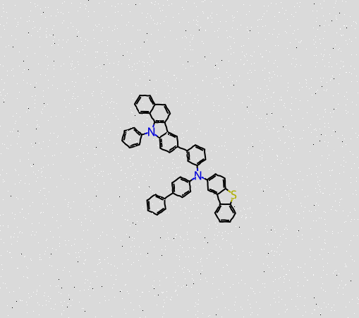 c1ccc(-c2ccc(N(c3cccc(-c4ccc5c(c4)c4ccc6ccccc6c4n5-c4ccccc4)c3)c3ccc4sc5ccccc5c4c3)cc2)cc1